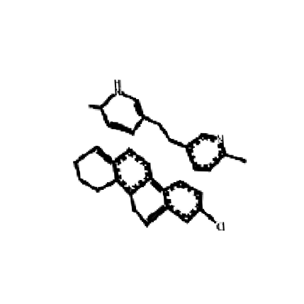 Cc1ccc(CCC2=CNC(C)C=C2)cn1.Clc1ccc2c(c1)=CCc1c3c(ccc1=2)=CCCC3